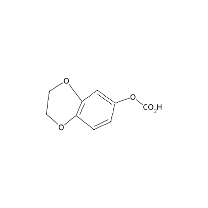 O=C(O)Oc1ccc2c(c1)OCCO2